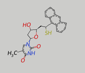 Cc1cn([C@H]2CC(O)[C@@H](CC(S)c3c4ccccc4cc4ccccc34)O2)c(=O)[nH]c1=O